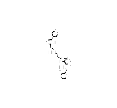 FC1=C(CNc2ncnc3sc(CCNCCc4ncc(-c5ccncc5)[nH]4)nc23)N=CCC1